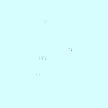 CCc1cc2ncc(C(C)Br)cc2[nH]c1=O